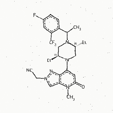 CC[C@H]1CN(C(C)c2ccc(F)cc2C(F)(F)F)[C@H](CC)CN1c1cc(=O)n(C)c2cn(CC#N)nc12